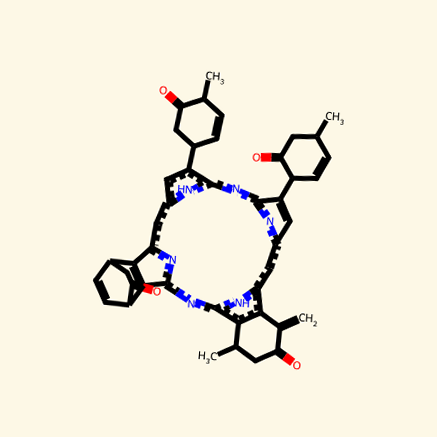 C=C1C(=O)CC(C)c2c1c1cc3nc(nc4[nH]c(cc5nc(nc2[nH]1)C1=C5C2C=CC1C(=O)C2)cc4C1C=CC(C)C(=O)C1)C(C1C=CC(C)CC1=O)=C3